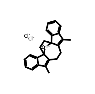 CC1=C2CCC3=C(C)c4ccccc4[C]34CC[C]2([Zr+2]4)c2ccccc21.[Cl-].[Cl-]